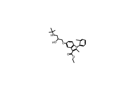 CCOC(=O)c1c(C)n(-c2ccccc2C)c2ccc(OCC(O)CNC(C)(C)C)cc12